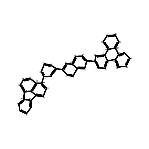 c1cc(-c2ccc3cc(-c4ccc5c6ccccc6c6ccccc6c5c4)ccc3c2)cc(-c2ccc3c4c(cccc24)-c2ccccc2-3)c1